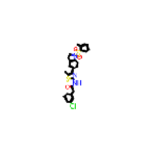 Cc1ccccc1S(=O)(=O)N1CCc2cc(-c3nc(NC(=O)Cc4cccc(Cl)c4)sc3C)ccc21